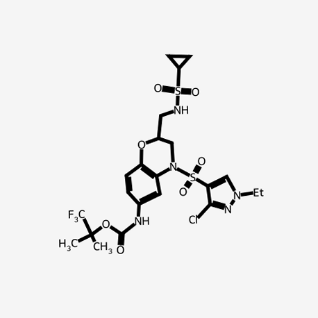 CCn1cc(S(=O)(=O)N2CC(CNS(=O)(=O)C3CC3)Oc3ccc(NC(=O)OC(C)(C)C(F)(F)F)cc32)c(Cl)n1